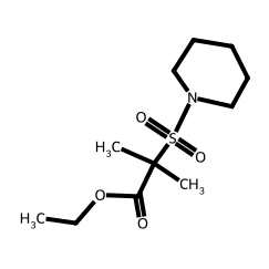 CCOC(=O)C(C)(C)S(=O)(=O)N1CCCCC1